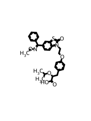 CON=C(c1ccccc1)c1ccc2c(c1)sc(=O)n2CCOc1ccc(CC(OC(C)C)C(=O)O)cc1